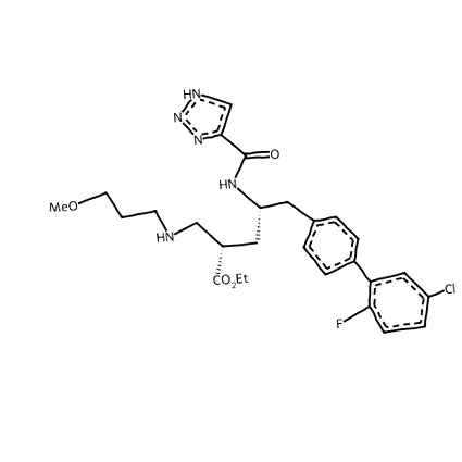 CCOC(=O)[C@H](CNCCCOC)C[C@@H](Cc1ccc(-c2cc(Cl)ccc2F)cc1)NC(=O)c1c[nH]nn1